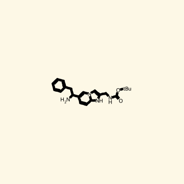 CC(C)(C)OC(=O)NCC1=CN2C=C(C(N)Cc3ccccc3)C=CC2N1